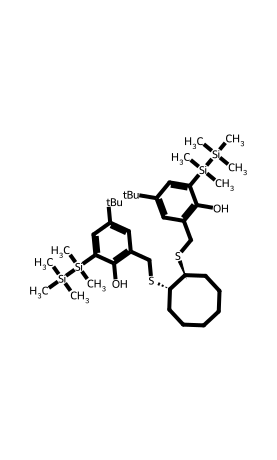 CC(C)(C)c1cc(CS[C@H]2CCCCCC[C@@H]2SCc2cc(C(C)(C)C)cc([Si](C)(C)[Si](C)(C)C)c2O)c(O)c([Si](C)(C)[Si](C)(C)C)c1